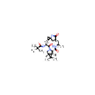 CC(C)(C)[C@H](NC(=O)C(C)(C)C(F)(F)F)C(=O)N1C[C@H]2[C@@H]([C@H]1C(=O)N[C@H](C#N)C[C@@H]1CC3(CC3)NC1=O)C2(C)C